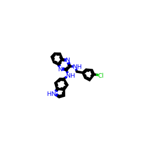 Clc1ccc(CNc2nc3ccccc3nc2Nc2ccc3[nH]ccc3c2)cc1